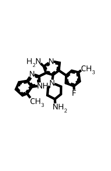 Cc1cc(F)cc(-c2cnc(N)c(-c3nc4cccc(C)c4[nH]3)c2N2CCC(N)CC2)c1